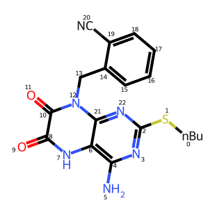 CCCCSc1nc(N)c2[nH]c(=O)c(=O)n(Cc3ccccc3C#N)c2n1